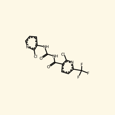 O=C(NC(=O)c1ccc(C(F)(F)F)nc1Cl)Nc1cccnc1Cl